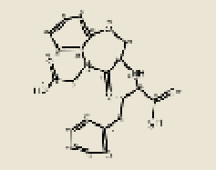 O=C(O)CN1C(=O)C(NC(CCc2ccccc2)C(=O)O)COc2ccccc21